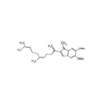 C=C(CCC=C(C)CCC=C(C)C)c1cc2cc(OC)c(OC)cc2n1C